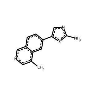 Cc1cncc2ccc(-c3cnc(N)s3)cc12